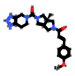 O=C(C=Cc1ccc(OC(F)(F)F)cc1)N1CC2=CN(C(=O)N3CCc4[nH]nnc4C3)C[C@H]2C1